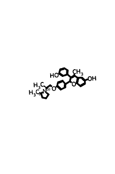 CC1=C(c2cccc(O)c2)C(c2ccc(OC[C@H](C)N3CCC[C@H]3C)cc2)Oc2ccc(O)cc21